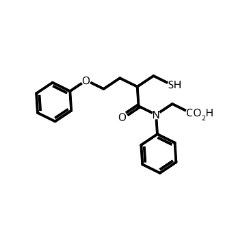 O=C(O)CN(C(=O)C(CS)CCOc1ccccc1)c1ccccc1